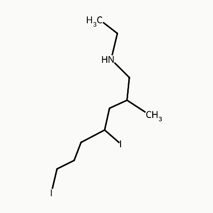 CCNCC(C)CC(I)CCCI